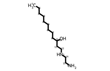 CCCCCCCCCC(O)CCNCCN